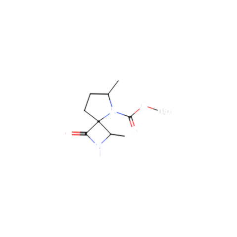 CC1CCC2(C(=O)NC2C)N1C(=O)OC(C)(C)C